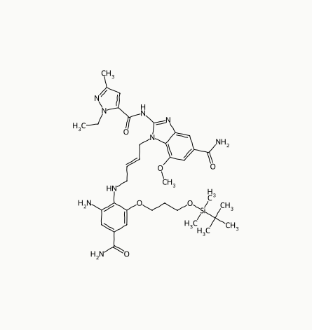 CCn1nc(C)cc1C(=O)Nc1nc2cc(C(N)=O)cc(OC)c2n1CC=CCNc1c(N)cc(C(N)=O)cc1OCCCO[Si](C)(C)C(C)(C)C